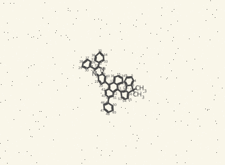 CC1(C)c2ccccc2-c2c(-c3c4ccccc4c(-c4ccc5nc(-c6ccccc6)c(-c6ccccc6)nc5c4)c4ccc(-c5ccccc5)cc34)cccc21